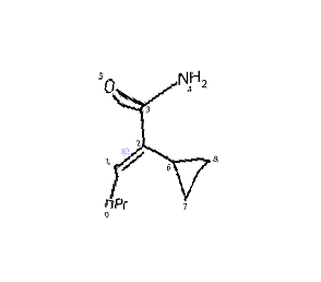 CCC/C=C(/C(N)=O)C1CC1